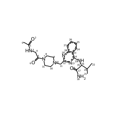 CC(=O)NCC(=O)N1CCN(Cc2nc(N[C@H](C(N)=O)C(C)C)c3ccccc3n2)CC1